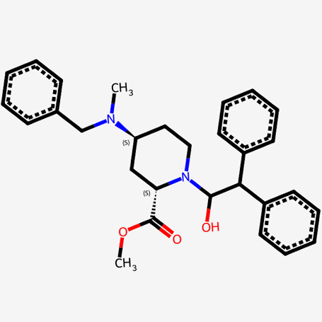 COC(=O)[C@@H]1C[C@@H](N(C)Cc2ccccc2)CCN1C(O)C(c1ccccc1)c1ccccc1